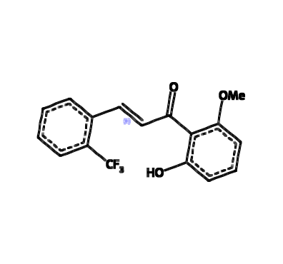 COc1cccc(O)c1C(=O)/C=C/c1ccccc1C(F)(F)F